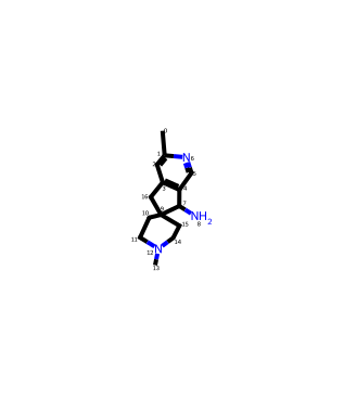 Cc1cc2c(cn1)C(N)C1(CCN(C)CC1)C2